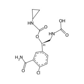 NC(=O)c1cc([C@H](CNC(=O)O)OC(=O)NC2CC2)ccc1Cl